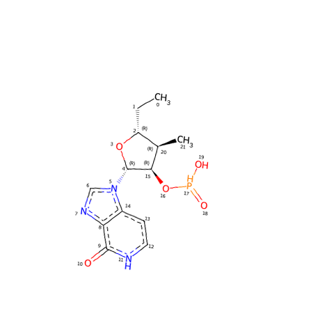 CC[C@H]1O[C@@H](n2cnc3c(=O)[nH]ccc32)[C@H](O[PH](=O)O)[C@@H]1C